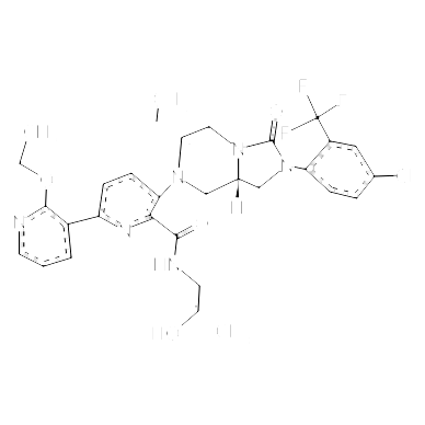 CCOc1ncccc1-c1ccc(N2C[C@H]3CN(c4ccc(Cl)cc4C(F)(F)F)C(=O)N3C[C@H]2CC)c(C(=O)NC[C@H](C)O)n1